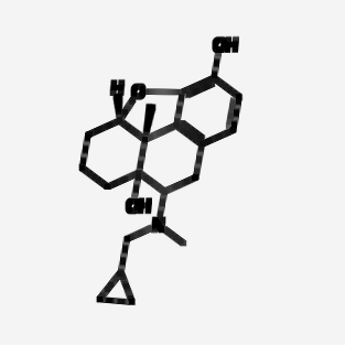 CN(CC1CC1)C1Cc2ccc(O)c3c2[C@@]2(C)[C@H](CCCC12O)O3